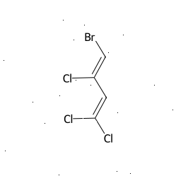 ClC(Cl)=CC(Cl)=CBr